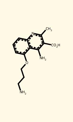 Cc1nc2cccc(OCCCN)c2c(N)c1C(=O)O